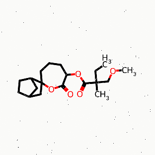 CCC(C)(COC)C(=O)OC1CCCC2(CC3CCC2C3)OC1=O